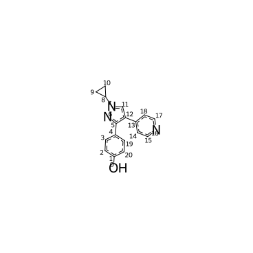 Oc1ccc(-c2nn(C3CC3)cc2-c2ccncc2)cc1